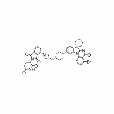 O=C1CCC(N2C(=O)c3cccc(N4CC(CN5CCC(c6ccc7c(c6)-n6c(nc(=O)c8c(Br)cccc86)C76CCCCC6)CC5)C4)c3C2=O)C(=O)N1